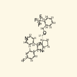 Fc1ccc(-c2nc3n(c2-c2ccncc2)[C@H](COCc2ccccc2C(F)(F)F)CC3)cc1